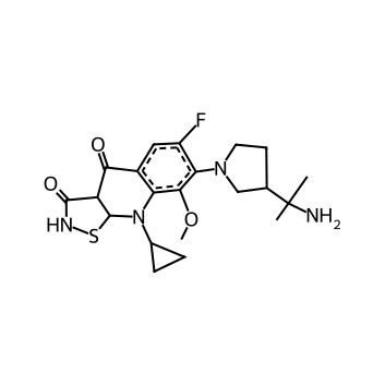 COc1c(N2CCC(C(C)(C)N)C2)c(F)cc2c1N(C1CC1)C1SNC(=O)C1C2=O